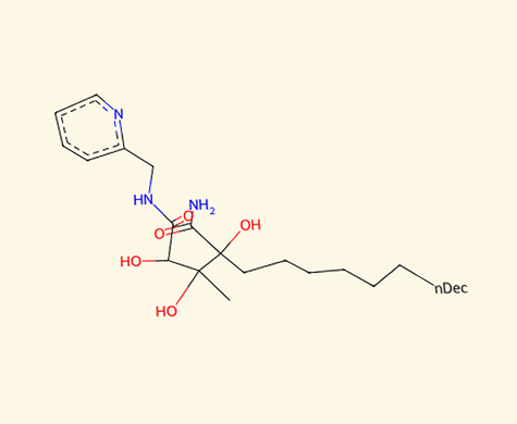 CCCCCCCCCCCCCCCCC(O)(C(N)=O)C(C)(O)C(O)C(=O)NCc1ccccn1